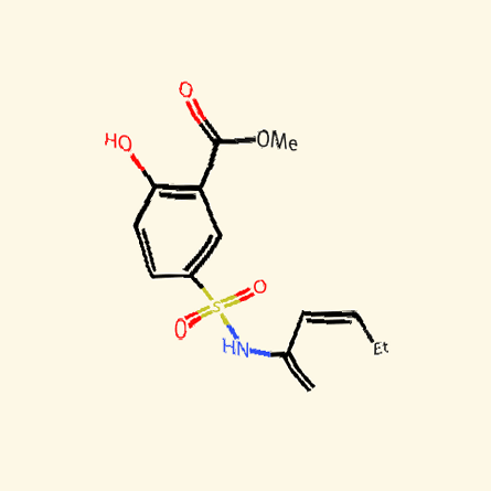 C=C(/C=C\CC)NS(=O)(=O)c1ccc(O)c(C(=O)OC)c1